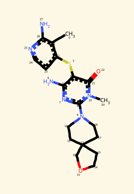 Cc1c(Sc2c(N)nc(N3CCC4(CCOC4)CC3)n(C)c2=O)ccnc1N